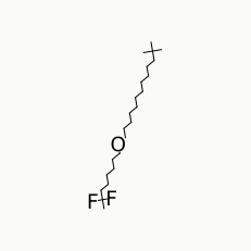 CC(C)(C)CCCCCCCCCCCOCCCCCCC(C)(F)F